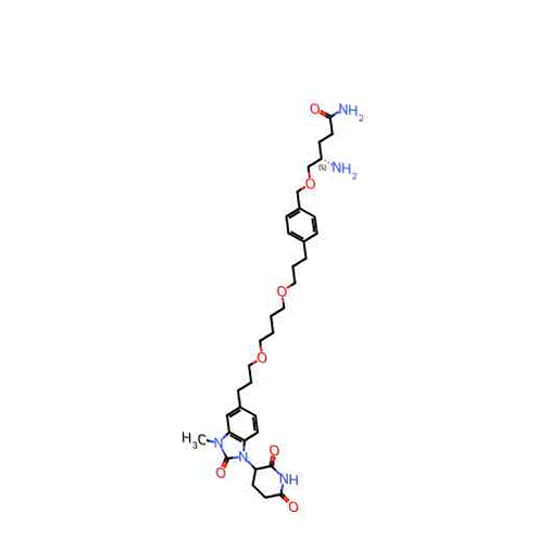 Cn1c(=O)n(C2CCC(=O)NC2=O)c2ccc(CCCOCCCCOCCCc3ccc(COC[C@@H](N)CCC(N)=O)cc3)cc21